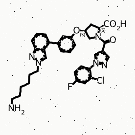 NCCCCCCn1cc2c(-c3cccc(O[C@H]4C[C@@H](C(=O)O)N(C(=O)c5cnn(-c6ccc(F)cc6Cl)c5)C4)c3)cccc2n1